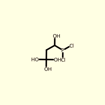 OC(CC(O)(O)O)P(Cl)Cl